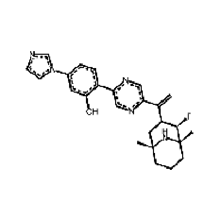 C=C(c1cnc(-c2ccc(-n3ccnc3)cc2O)cn1)[C@@H]1C[C@@]2(C)CCC[C@](C)(N2)[C@@H]1F